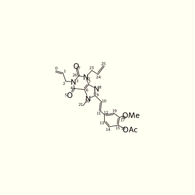 C=CCn1c(=O)c2c(nc(/C=C/c3ccc(OC(C)=O)c(OC)c3)n2C)n(CC=C)c1=O